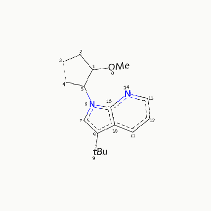 COC1CCCC1n1cc(C(C)(C)C)c2cccnc21